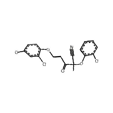 CC(C#N)(Oc1ccccc1Cl)C(=O)CCOc1ccc(Cl)cc1Cl